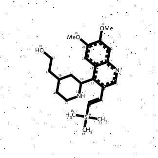 COc1cc2ncc(C=C[Si](C)(C)C)c(C3CC(CCO)CCN3)c2cc1OC